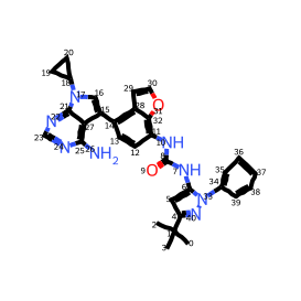 CC(C)(C)c1cc(NC(=O)Nc2ccc(-c3cn(C4CC4)c4ncnc(N)c34)c3ccoc23)n(-c2ccccc2)n1